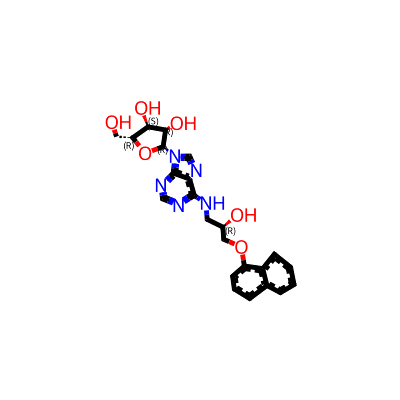 OC[C@H]1O[C@@H](n2cnc3c(NC[C@@H](O)COc4cccc5ccccc45)ncnc32)[C@H](O)[C@@H]1O